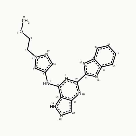 COCCn1cc(Nc2nc(-c3nc4ccccc4s3)nc3cn[nH]c23)cn1